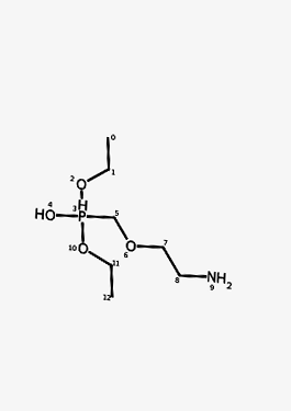 CCO[PH](O)(COCCN)OCC